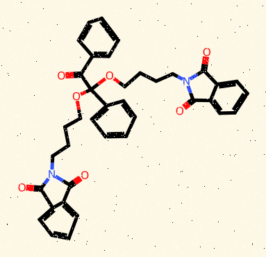 O=C1c2ccccc2C(=O)N1CCCCOC(OCCCCN1C(=O)c2ccccc2C1=O)(C(=O)c1ccccc1)c1ccccc1